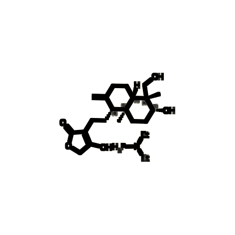 C=C1CC[C@@H]2[C@](C)(CO)[C@H](O)CC[C@@]2(C)[C@@H]1CCC1=C(O)COC1=O.CCN(P)CC